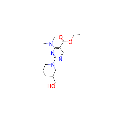 CCOC(=O)c1cnc(N2CCCC(CO)C2)nc1N(C)C